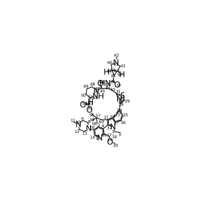 CCn1c(-c2cc(N3CCN(C)CC3)cnc2[C@H](C)OC)c2c3cc(ccc31)-c1csc(n1)C[C@H](NC(=O)[C@H]1[C@@H]3CN(C)C[C@@H]31)C(=O)N1CCC[C@H](N1)C(=O)OCC(C)(C)C2